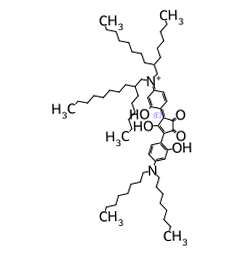 CCCCCCCCC(CCCCCC)C[N+](CC(CCCCCC)CCCCCCCC)=C1C=C/C(=C2\C(=O)C(=O)C(c3ccc(N(CCCCCCCC)CCCCCCCC)cc3O)=C2O)C(O)=C1